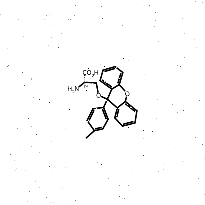 Cc1ccc(C2(OC[C@H](N)C(=O)O)c3ccccc3Oc3ccccc32)cc1